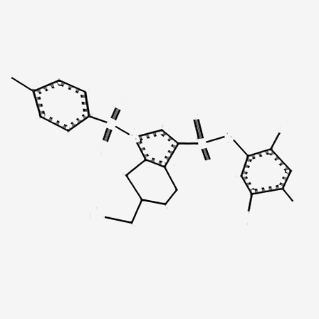 Cc1ccc(S(=O)(=O)n2cc(S(=O)(=O)Nc3cc(F)c(C(F)(F)F)cc3F)c3c2CC(CO)CC3)cc1